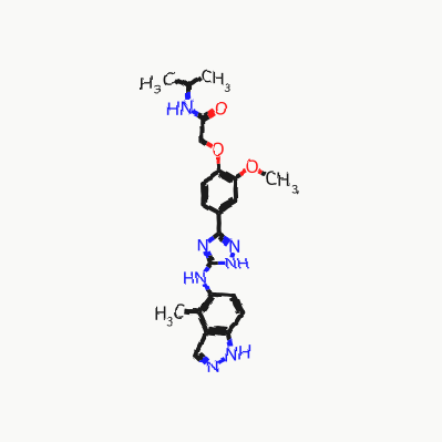 COc1cc(-c2n[nH]c(Nc3ccc4[nH]ncc4c3C)n2)ccc1OCC(=O)NC(C)C